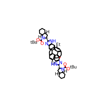 CCc1cc2c(-c3ccc4[nH]c([C@@H]5C[C@@H]6CCCC[C@@H]6N5C(=O)OC(C)(C)C)nc4c3)cc1CCc1cc(CC)c(cc1-c1ccc3[nH]c([C@@H]4C[C@@H]5CCCC[C@@H]5N4C(=O)OC(C)(C)C)nc3c1)CC2